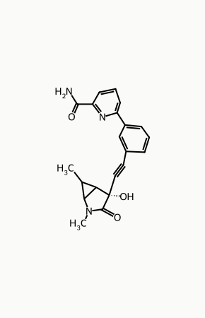 CC1C2C1[C@@](O)(C#Cc1cccc(-c3cccc(C(N)=O)n3)c1)C(=O)N2C